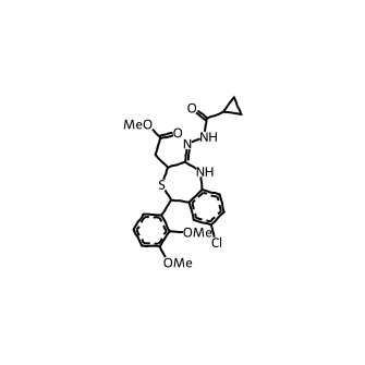 COC(=O)CC1SC(c2cccc(OC)c2OC)c2cc(Cl)ccc2NC1=NNC(=O)C1CC1